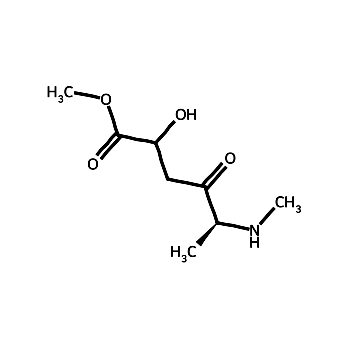 CN[C@@H](C)C(=O)CC(O)C(=O)OC